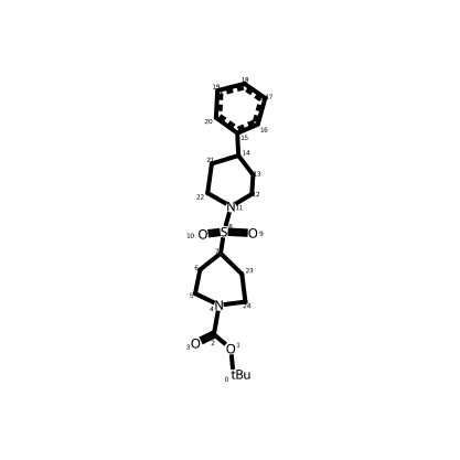 CC(C)(C)OC(=O)N1CCC(S(=O)(=O)N2CCC(c3ccccc3)CC2)CC1